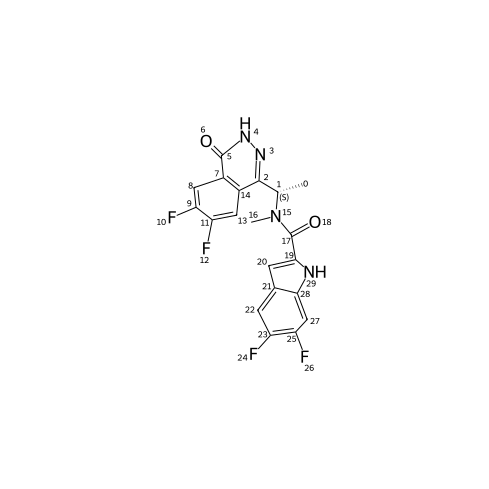 C[C@@H](c1n[nH]c(=O)c2cc(F)c(F)cc12)N(C)C(=O)c1cc2cc(F)c(F)cc2[nH]1